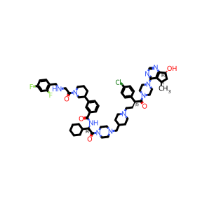 C[C@@H]1C[C@@H](O)c2ncnc(N3CCN(C(=O)[C@@H](CCN4CCC(CN5CCN(C(=O)[C@H](NC(=O)c6cccc(C7CCCN(C(=O)CNCc8ccc(F)cc8F)C7)c6)C6CCCCC6)CC5)CC4)c4ccc(Cl)cc4)CC3)c21